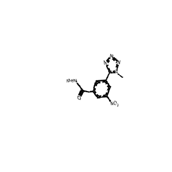 CNC(=O)c1cc(-c2nnnn2C)cc([N+](=O)[O-])c1